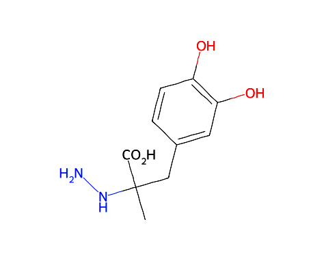 CC(Cc1ccc(O)c(O)c1)(NN)C(=O)O